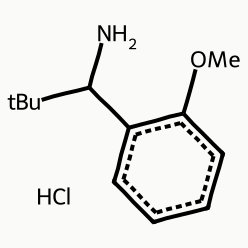 COc1ccccc1C(N)C(C)(C)C.Cl